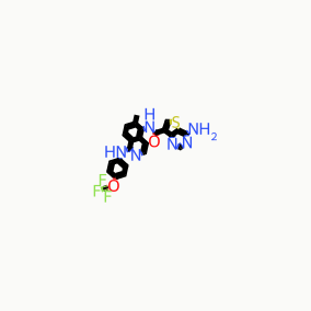 Cc1ccc2c(Nc3ccc(OC(F)(F)F)cc3)nccc2c1NC(=O)c1csc2c(N)ncnc12